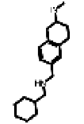 CNC1CCc2cc(CNCC3CCCCC3)ccc2C1